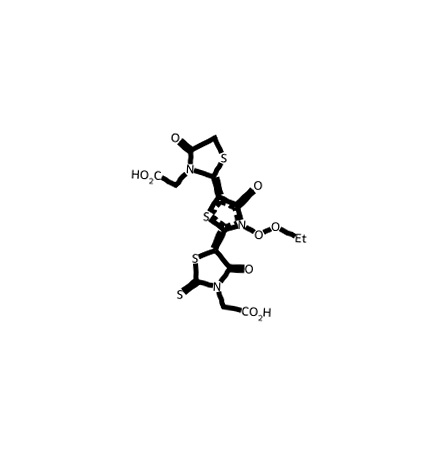 CCOOn1c(=O)/c(=C2\SCC(=O)N2CC(=O)O)s/c1=C1\SC(=S)N(CC(=O)O)C1=O